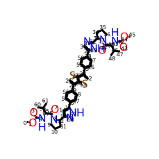 COC(=O)N[C@H](C(=O)N1CCCC1c1cc(-c2ccc(-c3csc4c(-c5ccc(-c6cnc(C7CCCN7C(=O)[C@@H](NC(=O)OC)C(C)C)[nH]6)cc5)csc34)cc2)[nH]n1)C(C)C